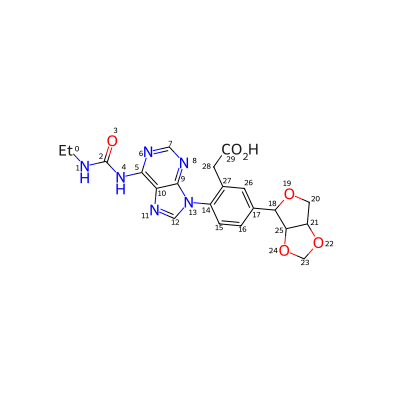 CCNC(=O)Nc1ncnc2c1ncn2-c1ccc(C2OCC3OCOC32)cc1CC(=O)O